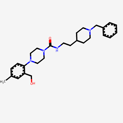 Cc1ccc(N2CCN(C(=O)NCCC3CCN(Cc4ccccc4)CC3)CC2)c(CO)c1